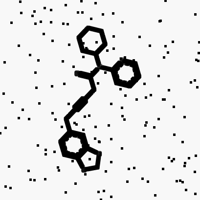 O=C(CC#CCc1ccc2c(c1)OCO2)N(c1ccccn1)C1CCCCC1